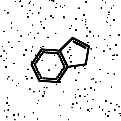 [c]1cccc2c1CC=C2